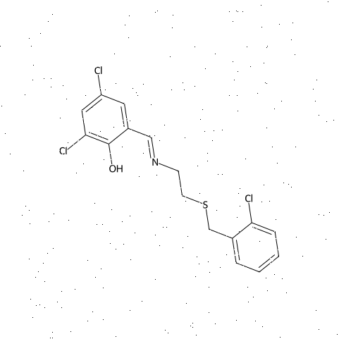 Oc1c(Cl)cc(Cl)cc1C=NCCSCc1ccccc1Cl